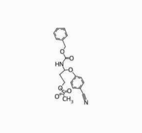 CS(=O)(=O)OCCC(NC(=O)OCc1ccccc1)Oc1ccc(C#N)cc1